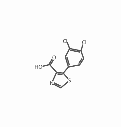 O=C(O)c1ncsc1-c1ccc(Cl)c(Cl)c1